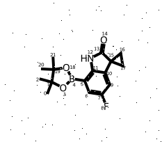 CC1(C)OB(c2cc(F)cc3c2NC(=O)C32CC2)OC1(C)C